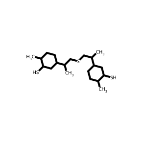 CC1CCC(C(C)CSCC(C)C2CCC(C)C(S)C2)CC1S